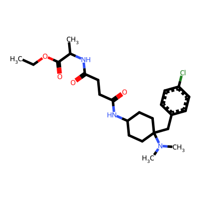 CCOC(=O)C(C)NC(=O)CCC(=O)NC1CCC(Cc2ccc(Cl)cc2)(N(C)C)CC1